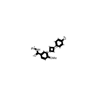 COc1ccc(C(=O)NC(C)C)cc1[C@H]1C[C@H](c2ccc(Cl)cc2)C1